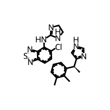 Cc1cccc([C@H](C)c2c[nH]cn2)c1C.Clc1ccc2nsnc2c1NC1=NCCN1